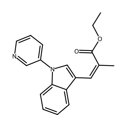 CCOC(=O)C(C)=Cc1cn(-c2cccnc2)c2ccccc12